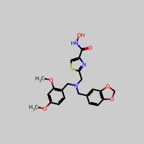 COc1ccc(CN(Cc2ccc3c(c2)OCO3)Cc2nc(C(=O)NO)cs2)c(OC)c1